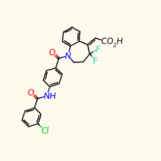 O=C(O)C=C1c2ccccc2N(C(=O)c2ccc(NC(=O)c3cccc(Cl)c3)cc2)CCC1(F)F